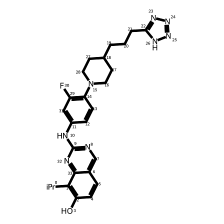 CC(C)c1c(O)ccc2cnc(Nc3ccc(N4CCC(CCCc5nnn[nH]5)CC4)c(F)c3)nc12